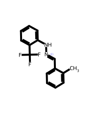 Cc1ccccc1/C=N/Nc1ccccc1C(F)(F)F